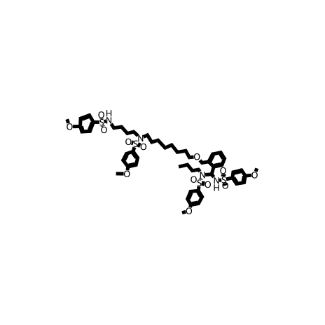 CCCCN(C(NS(=O)(=O)c1ccc(OC)cc1)c1ccccc1COCCCCCCCCN(CCCCNS(=O)(=O)c1ccc(OC)cc1)S(=O)(=O)c1ccc(OC)cc1)S(=O)(=O)c1ccc(OC)cc1